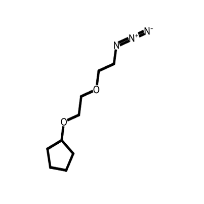 [N-]=[N+]=NCCOCCOC1CCCC1